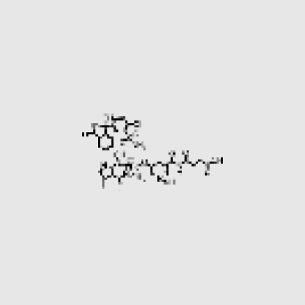 COC(CNC(=O)NC(=O)CCC(=O)O)[CH2][Hg][OH].Cn1c(=O)c2[nH]cnc2n(C)c1=O.NS(=O)(=O)c1cc(C2(O)NC(=O)c3ccccc32)ccc1Cl